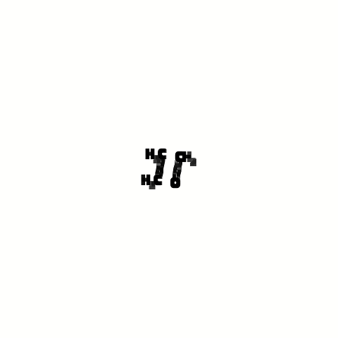 C=C.C=O